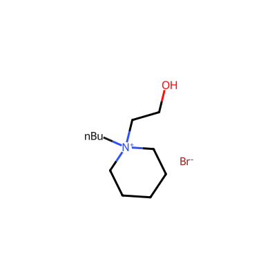 CCCC[N+]1(CCO)CCCCC1.[Br-]